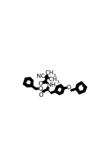 CC(C)(C#N)C(=O)N[C@@H](Cc1ccc(OCc2ccccc2)cc1)C(=O)OCc1ccccc1